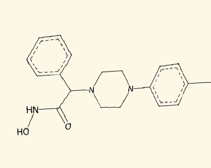 Cc1ccc(N2CCN(C(C(=O)NO)c3ccccc3)CC2)cc1